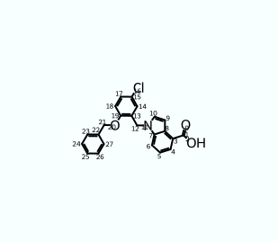 O=C(O)c1cccc2c1ccn2Cc1cc(Cl)ccc1OCc1ccccc1